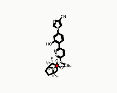 CN(c1ccc(-c2ccc(-n3cnc(C#N)c3)cc2O)nn1)[C@@H]1C[C@H]2CC[C@@H]([C@@H]1F)N2C(=O)OC(C)(C)C